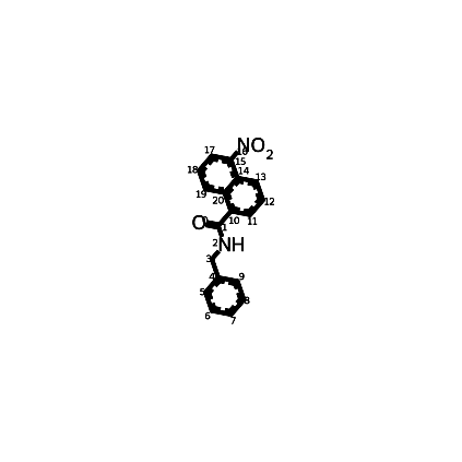 O=C(NCc1ccccc1)c1cccc2c([N+](=O)[O-])cccc12